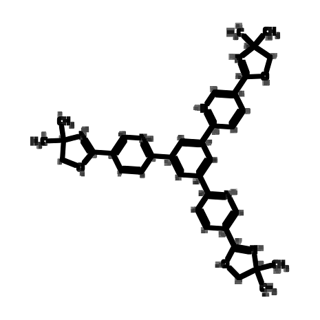 CC1(C)COC(c2ccc(-c3cc(-c4ccc(C5=NC(C)(C)CO5)cn4)cc(-c4ccc(C5=NC(C)(C)CO5)cn4)c3)nc2)=N1